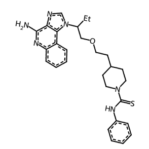 CCC(COCCC1CCN(C(=S)Nc2ccccc2)CC1)n1cnc2c(N)nc3ccccc3c21